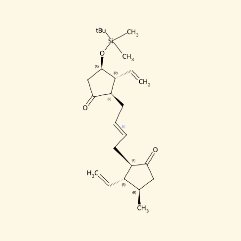 C=C[C@H]1[C@H](C)CC(=O)[C@@H]1C/C=C/C[C@H]1C(=O)C[C@@H](O[Si](C)(C)C(C)(C)C)[C@@H]1C=C